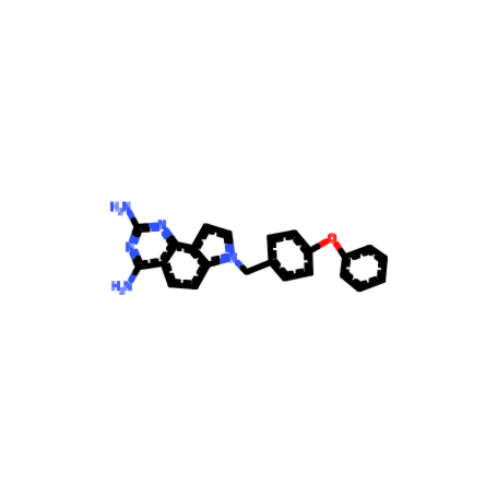 Nc1nc(N)c2ccc3c(ccn3Cc3ccc(Oc4ccccc4)cc3)c2n1